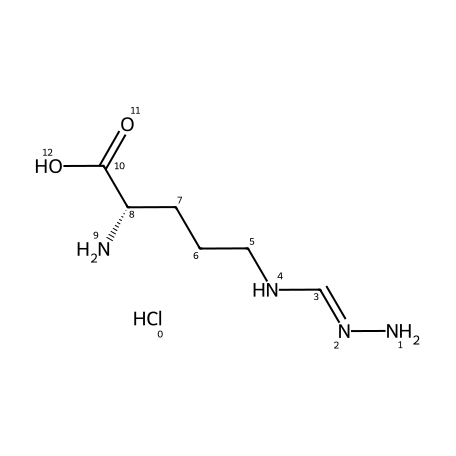 Cl.NN=CNCCC[C@H](N)C(=O)O